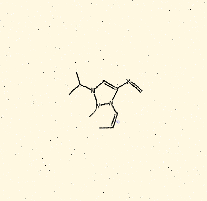 C=NC1=CN(C(C)C)N(C)N1/C=C\C